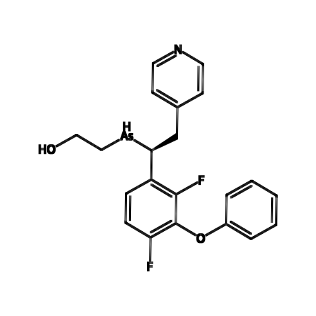 OCC[AsH][C@@H](Cc1ccncc1)c1ccc(F)c(Oc2ccccc2)c1F